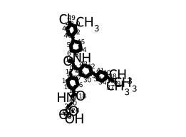 Cc1cc(-c2ccc(NC(=O)[C@H](Cc3ccc(C(=O)NCCS(=O)(=O)O)cc3)c3ccc(-c4ccc(C(C)(C)C)cc4)cc3)cc2)ccc1Cl